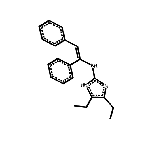 CCc1nc(BC(=Cc2ccccc2)c2ccccc2)[nH]c1CC